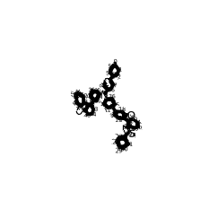 c1ccc(-c2ccc(N(c3ccc(-c4ccc5c(c4)oc4ccc6sc(-c7ccccc7)nc6c45)cc3)c3cccc(-c4cccc5oc6ccccc6c45)c3)cc2)cc1